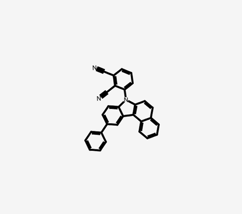 N#Cc1cccc(-n2c3ccc(-c4ccccc4)cc3c3c4ccccc4ccc32)c1C#N